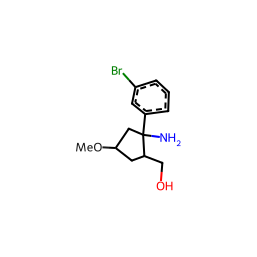 COC1CC(CO)C(N)(c2cccc(Br)c2)C1